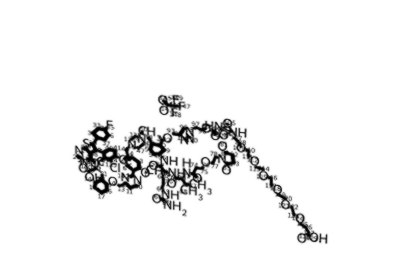 COc1ccccc1-c1nccc(COc2ccccc2C[C@@H](Oc2ncnc3sc(-c4ccc(F)cc4)c(-c4ccc(OCCN5CC[N+](C)(Cc6ccc(NC(=O)[C@H](CCCNC(N)=O)NC(=O)[C@@H](NC(=O)CCOCCN7C(=O)C=CC7=O)C(C)C)cc6COCc6cn(CCOC(=O)NS(=O)(=O)NCCOCCOCCOCCOCCOCCOCCC(=O)O)nn6)CC5)c(Cl)c4C)c23)C(=O)O)n1.O=C([O-])C(F)(F)F